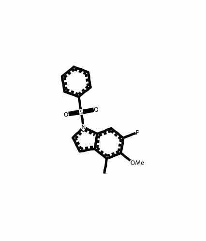 [CH2]c1c(OC)c(F)cc2c1ccn2S(=O)(=O)c1ccccc1